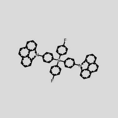 Fc1ccc([Si](c2ccc(F)cc2)(c2ccc(-n3c4cccc5ccc6cccc3c6c54)cc2)c2ccc(-n3c4cccc5ccc6cccc3c6c54)cc2)cc1